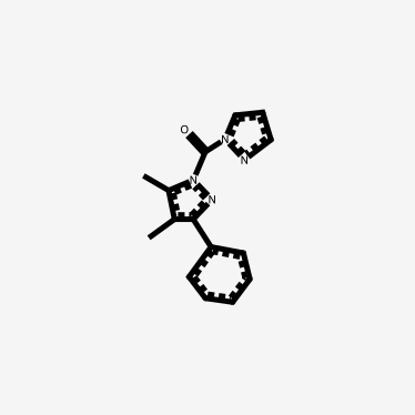 Cc1c(-c2ccccc2)nn(C(=O)n2cccn2)c1C